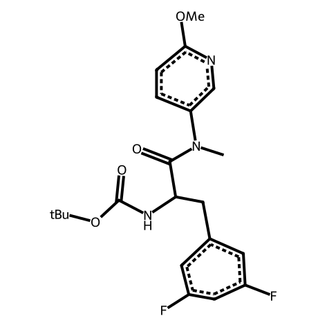 COc1ccc(N(C)C(=O)C(Cc2cc(F)cc(F)c2)NC(=O)OC(C)(C)C)cn1